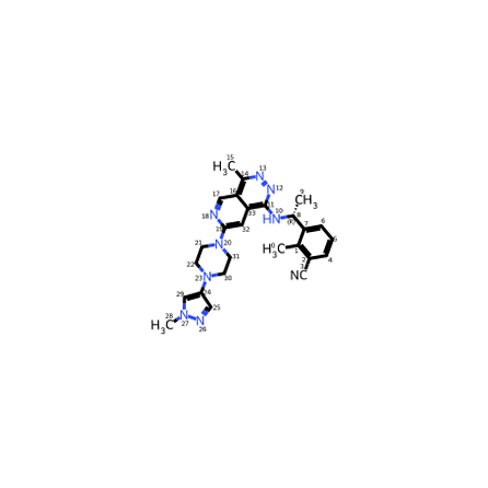 Cc1c(C#N)cccc1[C@@H](C)Nc1nnc(C)c2cnc(N3CCN(c4cnn(C)c4)CC3)cc12